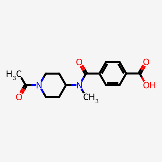 CC(=O)N1CCC(N(C)C(=O)c2ccc(C(=O)O)cc2)CC1